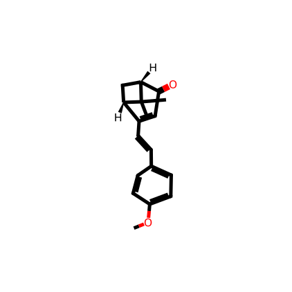 COc1ccc(/C=C/C2=CC(=O)[C@H]3C[C@@H]2C3(C)C)cc1